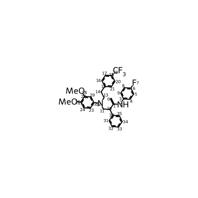 C=C(Nc1ccc(F)cc1)C(CN(CCc1ccc(C(F)(F)F)cc1)c1ccc(OC)c(OC)c1)c1ccccc1